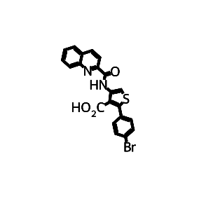 O=C(Nc1csc(-c2ccc(Br)cc2)c1C(=O)O)c1ccc2ccccc2n1